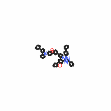 c1ccc(-c2ccc(-c3nc(-c4ccccc4)nc(-c4cc5oc6ccccc6c5cc4-c4cccc(-c5ccc6oc7cc(-n8c9ccccc9c9cc(-c%10ccccc%10)ccc98)ccc7c6c5)c4)n3)cc2)cc1